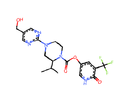 CC(C)C1CN(c2ncc(CO)cn2)CCN1C(=O)Oc1c[nH]c(=O)c(C(F)(F)F)c1